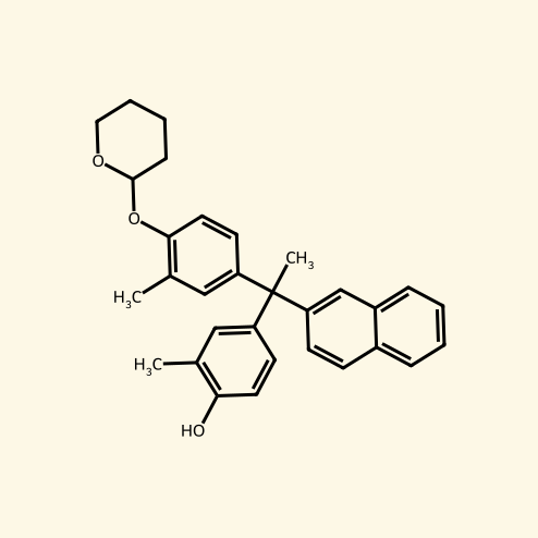 Cc1cc(C(C)(c2ccc(OC3CCCCO3)c(C)c2)c2ccc3ccccc3c2)ccc1O